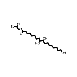 CCC(O)COC(=O)CCCCCCCC(O)C(O)CCCCCCCCO